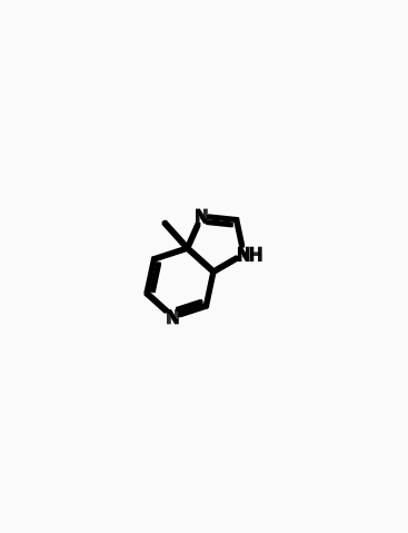 CC12C=CN=CC1NC=N2